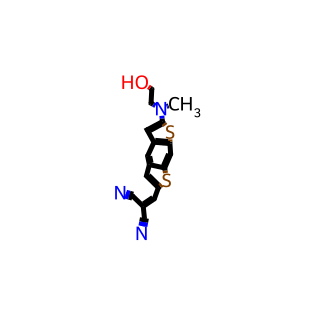 CN(CCO)c1cc2cc3cc(C=C(C#N)C#N)sc3cc2s1